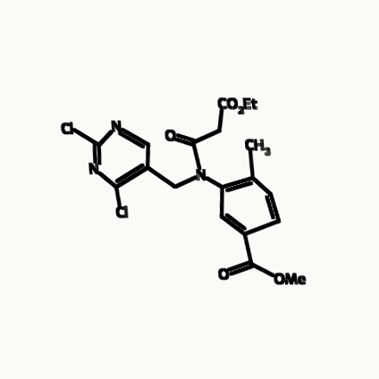 CCOC(=O)CC(=O)N(Cc1cnc(Cl)nc1Cl)c1cc(C(=O)OC)ccc1C